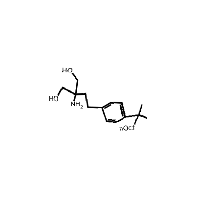 CCCCCCCCC(C)(C)c1ccc(CCC(N)(CO)CO)cc1